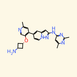 Cc1cc(-c2ccn3nc(Nc4cc(C)nc(C)n4)cc3c2)c(O[C@H]2C[C@H](N)C2)cn1